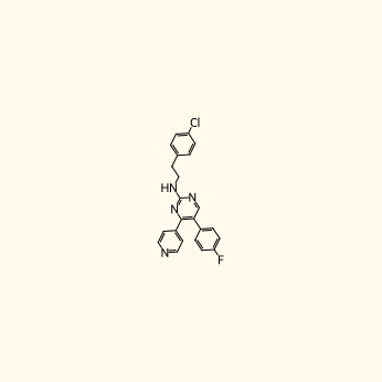 Fc1ccc(-c2cnc(NCCc3ccc(Cl)cc3)nc2-c2ccncc2)cc1